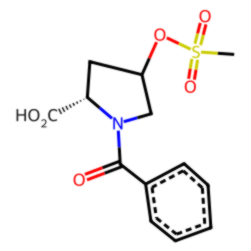 CS(=O)(=O)OC1C[C@@H](C(=O)O)N(C(=O)c2ccccc2)C1